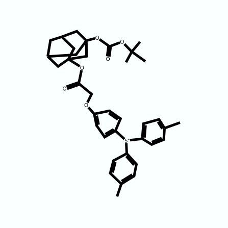 Cc1ccc([S+](c2ccc(C)cc2)c2ccc(OCC(=O)OC34CC5CC(C3)CC(OC(=O)OC(C)(C)C)(C5)C4)cc2)cc1